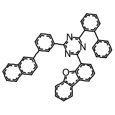 c1ccc(-c2ccccc2-c2nc(-c3cccc(-c4ccc5ccccc5c4)c3)nc(-c3cccc4c3oc3ccccc34)n2)cc1